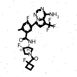 Cc1cc(F)c(-c2cc(C(F)(F)F)c3c(N)ncnn23)cc1C(=O)N[C@@H]1CN(C(=O)C2(F)CCC2)C[C@@H]1F